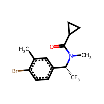 Cc1cc([C@H](N(C)C(=O)C2CC2)C(F)(F)F)ccc1Br